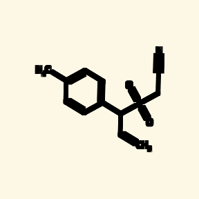 C=CC(c1ccc(C)cc1)S(=O)(=O)CC#N